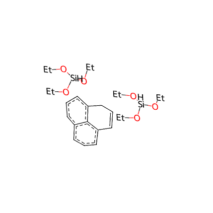 C1=Cc2cccc3cccc(c23)C1.CCO[SiH](OCC)OCC.CCO[SiH](OCC)OCC